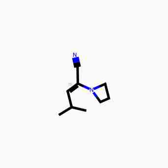 CC(C)/C=C(/C#N)N1CCC1